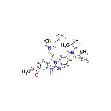 CCCCN(CC)CCCn1c(Nc2cccc(C(=O)OC)c2)nc2ccc(CN(CC(C)C)CC(C)C)cc21